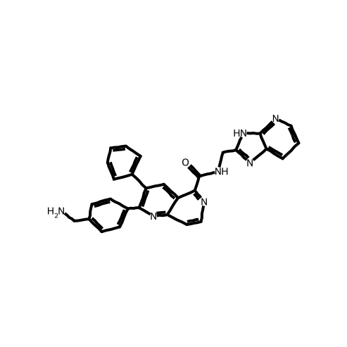 NCc1ccc(-c2nc3ccnc(C(=O)NCc4nc5cccnc5[nH]4)c3cc2-c2ccccc2)cc1